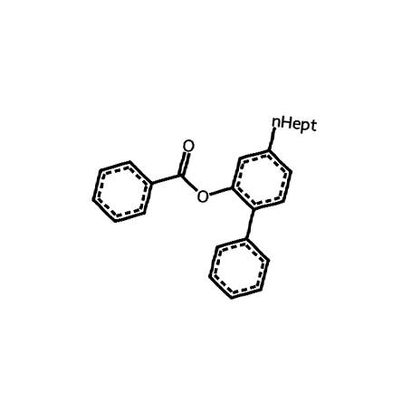 CCCCCCCc1ccc(-c2ccccc2)c(OC(=O)c2ccccc2)c1